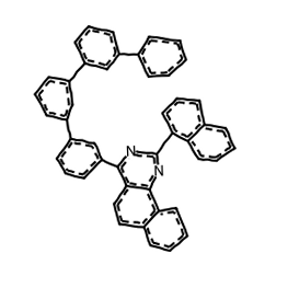 c1ccc(-c2cccc(-c3cccc(-c4cccc(-c5nc(-c6cccc7ccccc67)nc6c5ccc5ccccc56)c4)c3)c2)cc1